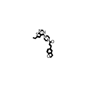 CCc1cc2c(N3CCN(C(=O)C=Cc4ccc5c(c4)CCO5)CC3)ncnc2s1